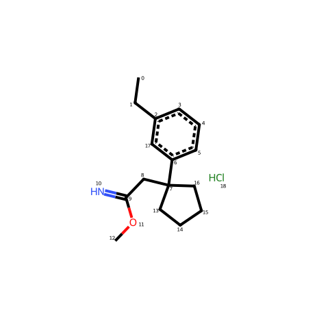 CCc1cccc(C2(CC(=N)OC)CCCC2)c1.Cl